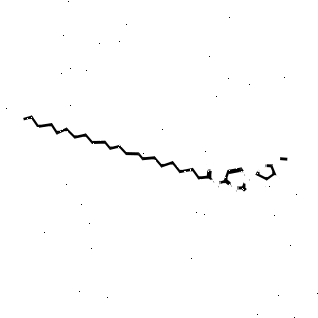 CCCCCCCCCCCCCCCCCCCCCC(=O)Nc1ccn([C@@H]2O[C@H](CC)[C@@H](O)[C@@H]2O)c(=O)n1